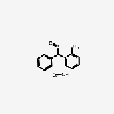 CCO.Cc1ccccc1C(P=O)c1ccccc1